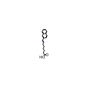 O=C(O)CCCCC/C=C/c1ccc2ccccc2c1